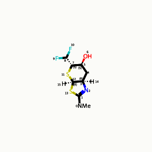 CNC1=N[C@@H]2C[C@H](O)[C@@H](C(F)F)S[C@@H]2S1